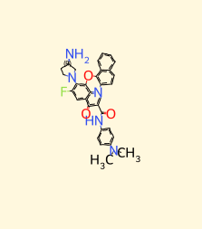 CN(C)c1ccc(NC(=O)c2cn3c4c(c(N5CC[C@@H](N)C5)c(F)cc4c2=O)Oc2c-3ccc3ccccc23)cc1